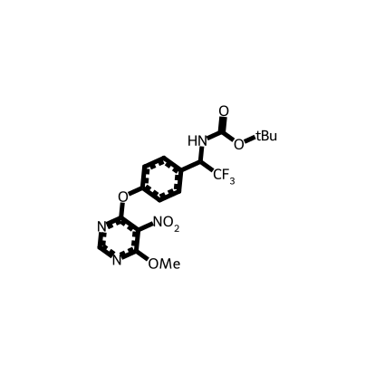 COc1ncnc(Oc2ccc(C(NC(=O)OC(C)(C)C)C(F)(F)F)cc2)c1[N+](=O)[O-]